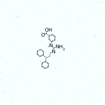 CN(C(N)=NCCC(c1ccccc1)c1ccccc1)c1cccc(C(=O)O)c1